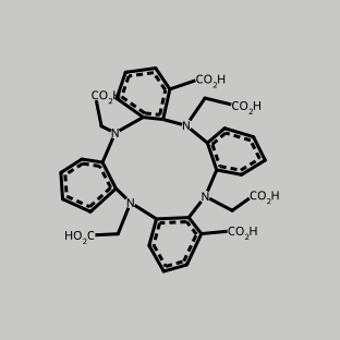 O=C(O)CN1c2ccccc2N(CC(=O)O)c2cccc(C(=O)O)c2N(CC(=O)O)c2ccccc2N(CC(=O)O)c2c(C(=O)O)cccc21